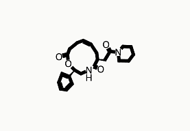 O=C1CCC=CC[C@@H](CC(=O)N2CCCCC2)C(=O)NC[C@@H](c2ccccc2)O1